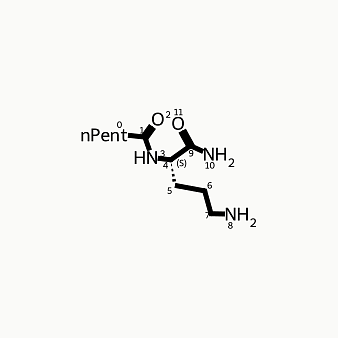 CCCCCC(=O)N[C@@H](CCCN)C(N)=O